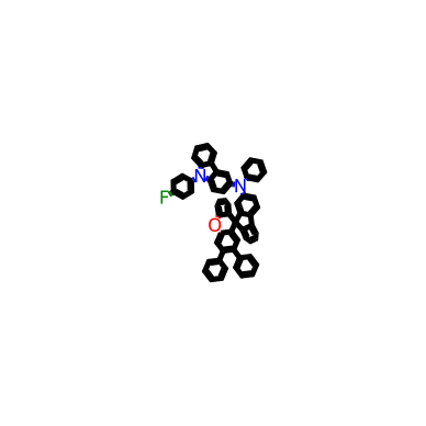 Fc1ccc(-n2c3ccccc3c3cc(N(c4ccccc4)c4ccc5c(c4)C4(c6ccccc6Oc6cc(-c7ccccc7)c(-c7ccccc7)cc64)c4ccccc4-5)ccc32)cc1